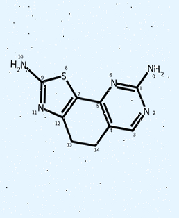 Nc1ncc2c(n1)-c1sc(N)nc1CC2